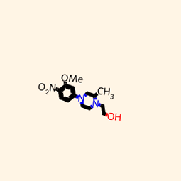 COc1cc(N2CCN(CCO)C(C)C2)ccc1[N+](=O)[O-]